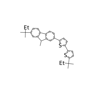 CCC(C)(C)c1ccc2c(c1)C(C)c1cc(-c3ccc(-c4ccc(C(C)(C)CC)s4)s3)ccc1-2